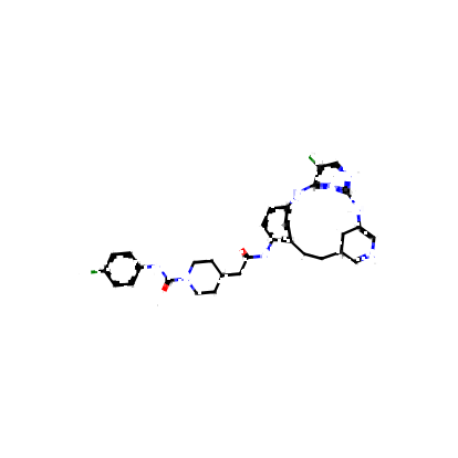 O=C(CC1CCN(C(=O)Nc2ccc(F)cc2)CC1)Nc1ccc2cc1CCC1C=NC=C(C1)Nc1ncc(Cl)c(n1)N2